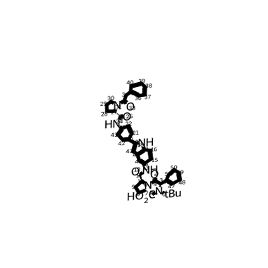 CC(C)(C)N(C(=O)O)[C@@H](C(=O)N1CCC[C@H]1C(=O)Nc1ccc2[nH]c(-c3ccc(NC(=O)[C@@H]4CCCN4C(=O)Cc4ccccc4)cc3)cc2c1)c1ccccc1